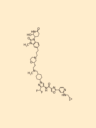 CN(CC[C@@H]1CN(CCCc2ccc3c(c2)n(C)c(=O)n3C2CCC(=O)NC2O)CCO1)CC1CCC(n2cc(NC(=O)c3coc(-c4ccnc(NCC5CC5)c4)n3)c(C(F)F)n2)CC1